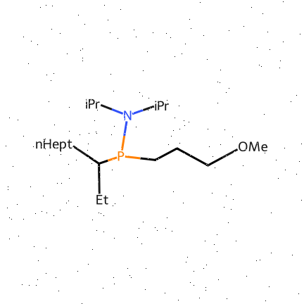 CCCCCCCC(CC)P(CCCOC)N(C(C)C)C(C)C